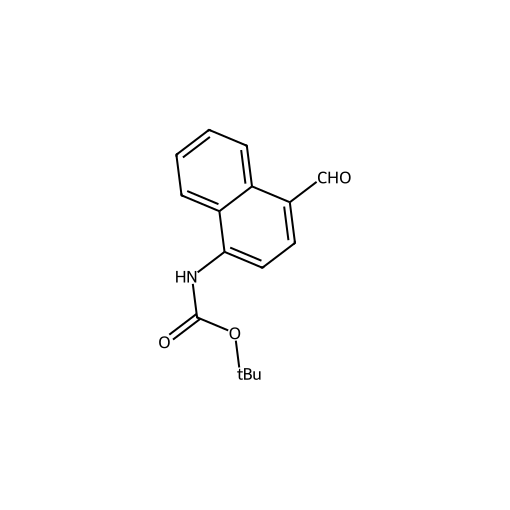 CC(C)(C)OC(=O)Nc1ccc(C=O)c2ccccc12